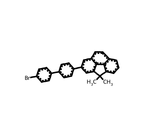 CC1(C)c2cccc3ccc4cc(-c5ccc(-c6ccc(Br)cc6)cc5)cc1c4c23